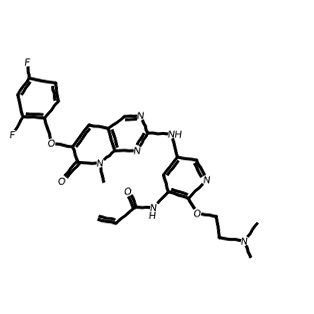 C=CC(=O)Nc1cc(Nc2ncc3cc(Oc4ccc(F)cc4F)c(=O)n(C)c3n2)cnc1OCCN(C)C